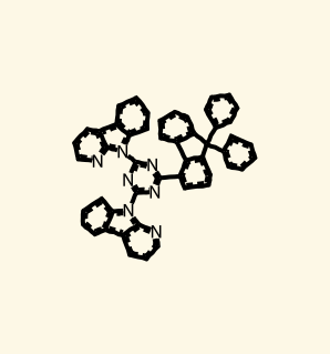 c1ccc(C2(c3ccccc3)c3ccccc3-c3c(-c4nc(-n5c6ccccc6c6cccnc65)nc(-n5c6ccccc6c6cccnc65)n4)cccc32)cc1